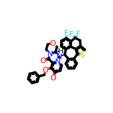 O=C1c2c(OCc3ccccc3)c(=O)ccn2N([C@@H]2c3ccccc3-c3scc4c3-c3c2ccc(F)c3C(F)(F)C4)[C@@H]2COCCN12